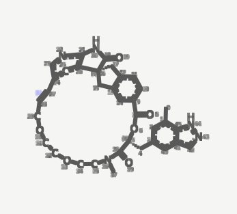 Cc1cc(C[C@H]2OC(=O)c3ccc4c(c3)C[C@]3(C4)C(=O)Nc4ncc(cc43)/C=C/COCCOCCN(C)C2=O)cc2cn[nH]c12